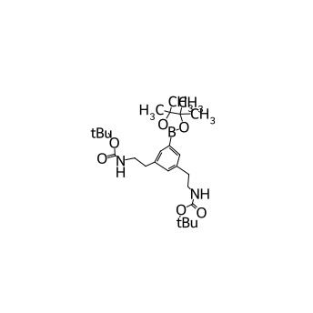 CC(C)(C)OC(=O)NCCc1cc(CCNC(=O)OC(C)(C)C)cc(B2OC(C)(C)C(C)(C)O2)c1